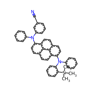 C[Si](C)(C)c1ccccc1N(c1ccccc1)c1ccc2ccc3c(N(c4ccccc4)c4cccc(C#N)c4)ccc4ccc1c2c43